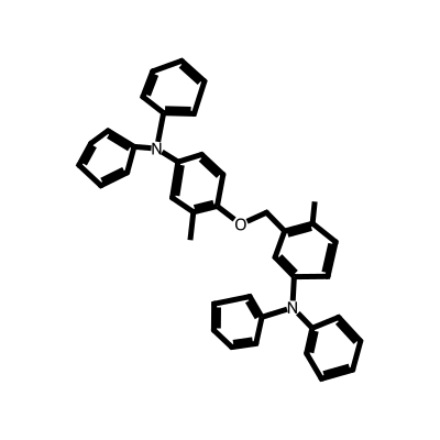 Cc1ccc(N(c2ccccc2)c2ccccc2)cc1COc1ccc(N(c2ccccc2)c2ccccc2)cc1C